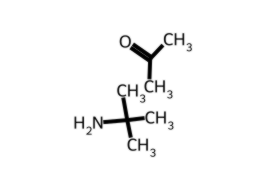 CC(C)(C)N.CC(C)=O